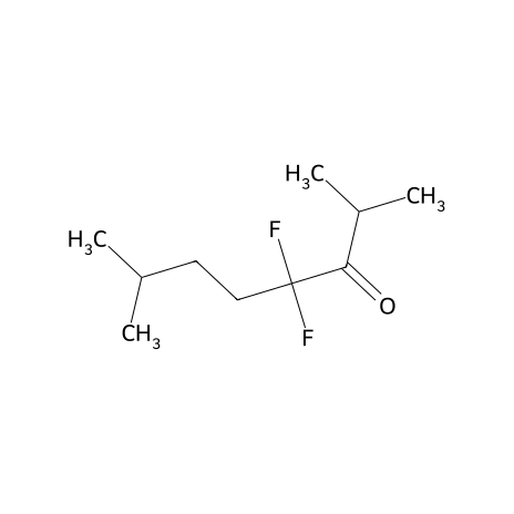 CC(C)CCC(F)(F)C(=O)C(C)C